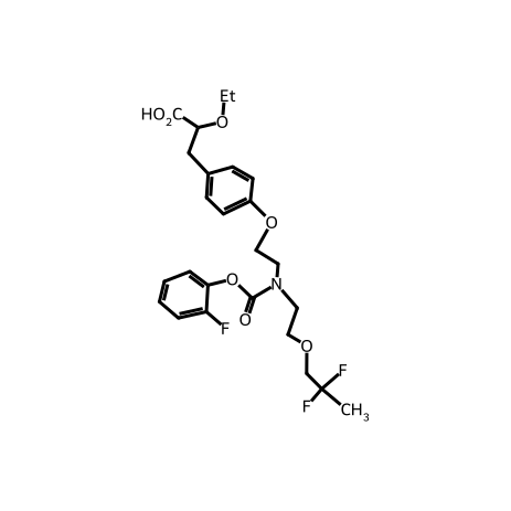 CCOC(Cc1ccc(OCCN(CCOCC(C)(F)F)C(=O)Oc2ccccc2F)cc1)C(=O)O